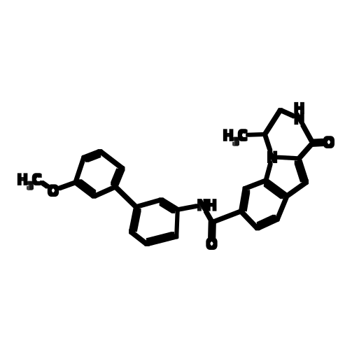 COc1cccc(-c2cccc(NC(=O)c3ccc4cc5n(c4c3)C(C)CNC5=O)c2)c1